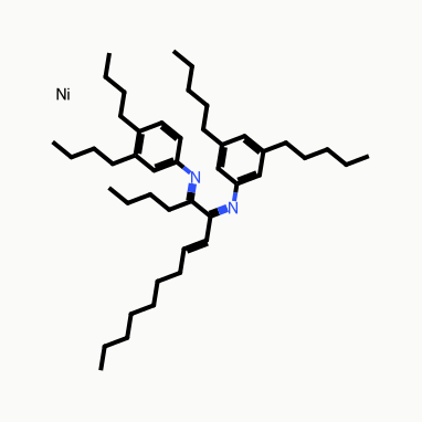 CCCCCCCC=CC(=Nc1cc(CCCCC)cc(CCCCC)c1)C(CCCC)=Nc1ccc(CCCC)c(CCCC)c1.[Ni]